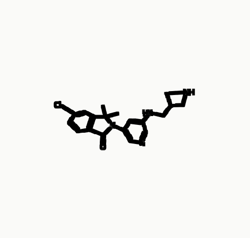 CC1(C)c2cc(Cl)ccc2C(=O)N1c1cncc(NCC2CNC2)c1